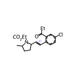 CCOC(=O)N1C(C)CCC1/C=C/c1ccc(Cl)cc1C(=O)CC